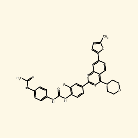 CC(=O)Nc1ccc(NC(=O)Nc2ccc(-c3nc(N4CCOCC4)c4ccc(-c5ccc(C)o5)cc4n3)cc2F)cc1